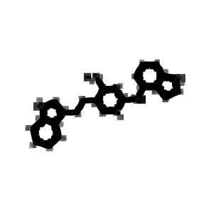 Nc1nc(Nc2cccc3[nH]ccc23)ncc1CCc1c[nH]c2ccccc12